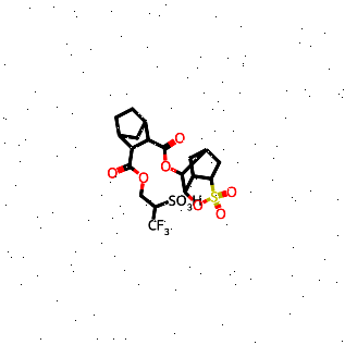 O=C(OCC(C(F)(F)F)S(=O)(=O)O)C1C2CCC(C2)C1C(=O)OC1C2CC3C1OS(=O)(=O)C3C2